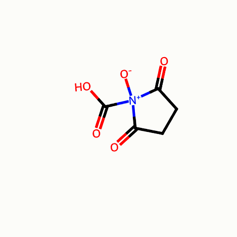 O=C(O)[N+]1([O-])C(=O)CCC1=O